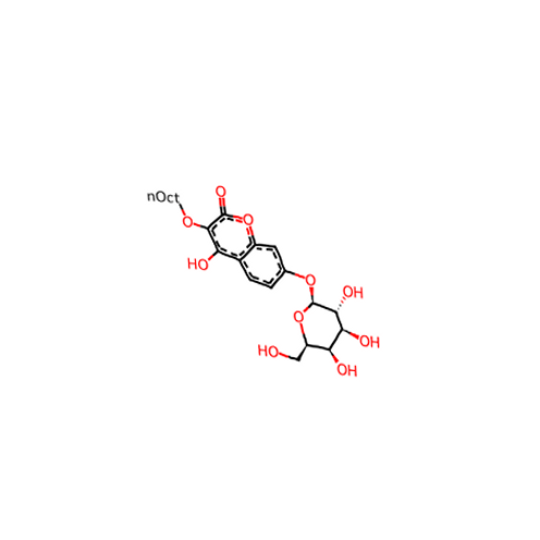 CCCCCCCCOc1c(O)c2ccc(O[C@@H]3O[C@H](CO)[C@H](O)[C@H](O)[C@H]3O)cc2oc1=O